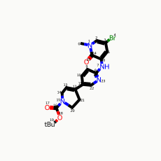 Cn1cc(Br)cc(Nc2ccc(C3=CCN(C(=O)OC(C)(C)C)CC3)cn2)c1=O